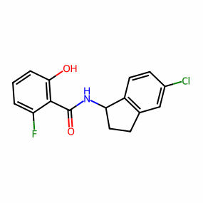 O=C(NC1CCc2cc(Cl)ccc21)c1c(O)cccc1F